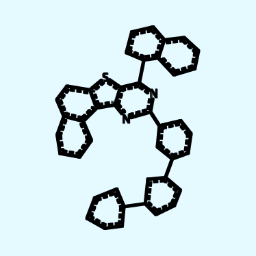 c1ccc(-c2cccc(-c3cccc(-c4nc(-c5cccc6ccccc56)c5sc6ccc7ccccc7c6c5n4)c3)c2)cc1